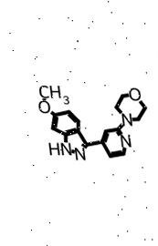 COc1ccc2c(-c3ccnc(N4CCOCC4)c3)n[nH]c2c1